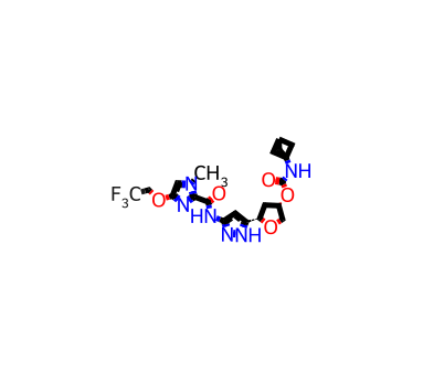 Cn1cc(OCC(F)(F)F)nc1C(=O)Nc1cc([C@@H]2C[C@H](OC(=O)NC34CC(C3)C4)CO2)[nH]n1